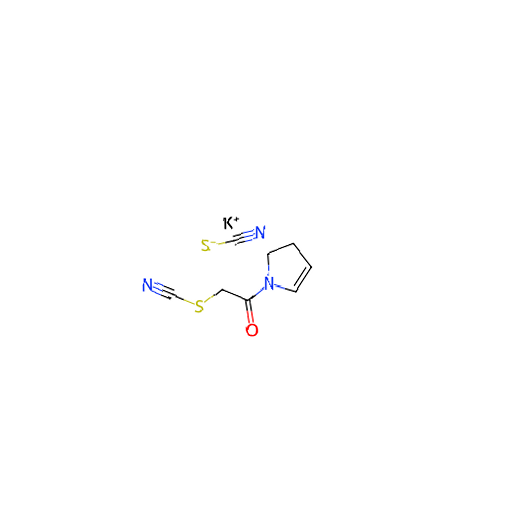 N#CSCC(=O)N1C=CCC1.N#C[S-].[K+]